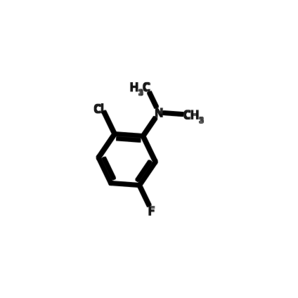 CN(C)c1cc(F)ccc1Cl